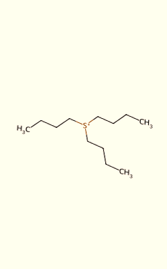 CCCC[S+](CCCC)CCCC